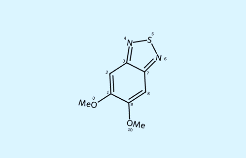 COc1cc2nsnc2cc1OC